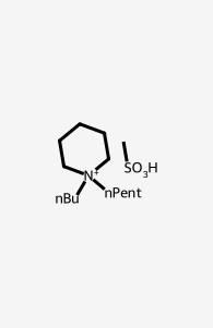 CCCCC[N+]1(CCCC)CCCCC1.CS(=O)(=O)O